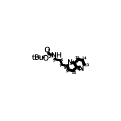 CC(C)(C)OC(=O)NCCCc1ccc2ncccc2n1